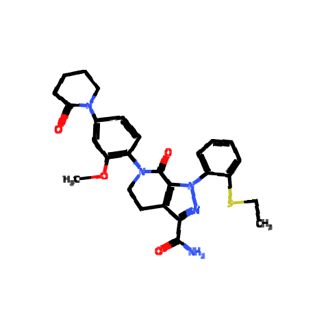 CCSc1ccccc1-n1nc(C(N)=O)c2c1C(=O)N(c1ccc(N3CCCCC3=O)cc1OC)CC2